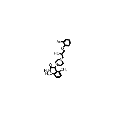 CC(=O)c1ccccc1OCC(O)CN1CCN(C(C(N)=O)c2c(C)cccc2C)CC1